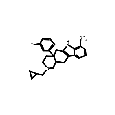 O=[N+]([O-])c1cccc2c3c([nH]c12)CC1(c2cccc(O)c2)CCN(CC2CC2)CC1C3